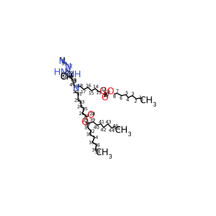 CCCCCCCCCOC(=O)OCCCCCCN(CCCCCCCC(=O)OC(CCCCCCCC)CCCCCCCC)CCCN/C(=N/C#N)NC